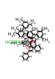 Cc1cc(C)cc(-c2c(C)c(C)cc3c2C=C(c2ccc(-c4ccccc4)o2)[CH]3[Zr]([CH3])([CH3])(=[SiH2])[CH]2C(c3ccc(-c4ccccc4)o3)=Cc3c2cc(C)c(C)c3-c2cc(C)cc(C)c2)c1.Cl.Cl